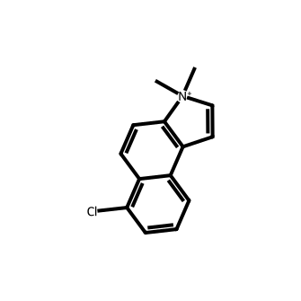 C[N+]1(C)C=Cc2c1ccc1c(Cl)cccc21